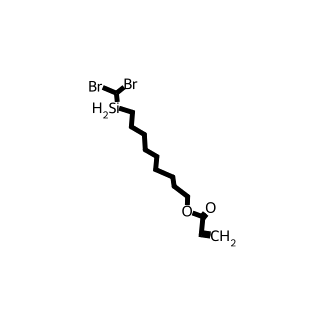 C=CC(=O)OCCCCCCCCC[SiH2]C(Br)Br